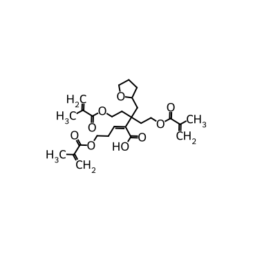 C=C(C)C(=O)OCCC=C(C(=O)O)C(CCOC(=O)C(=C)C)(CCOC(=O)C(=C)C)CC1CCCO1